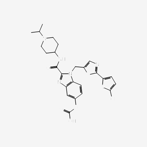 CC(C)N1CCC(NC(=O)c2nc3cc(OC(=O)O)ccc3n2Cc2cnc(-c3ccc(Cl)s3)s2)CC1